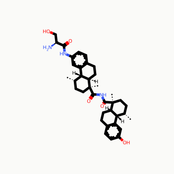 C[C@H]1CC[C@](C)(C(=O)NC(=O)[C@@]2(C)CC[C@H](C)[C@@H]3c4cc(NC(=O)[C@@H](N)CO)ccc4CC[C@H]32)[C@@H]2CCc3ccc(O)cc3[C@H]21